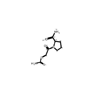 NC(=O)OCC(=O)N1CCCC1C(N)=O